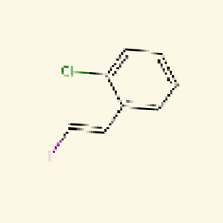 Clc1ccccc1C=CI